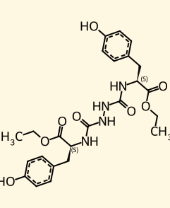 CCOC(=O)[C@H](Cc1ccc(O)cc1)NC(=O)NNC(=O)N[C@@H](Cc1ccc(O)cc1)C(=O)OCC